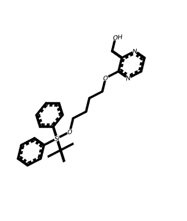 CC(C)(C)[Si](OCCCCOc1nccnc1CO)(c1ccccc1)c1ccccc1